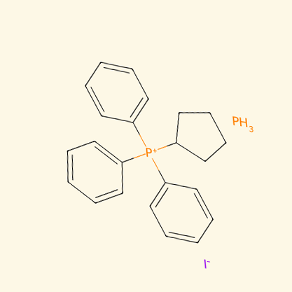 P.[I-].c1ccc([P+](c2ccccc2)(c2ccccc2)C2CCCC2)cc1